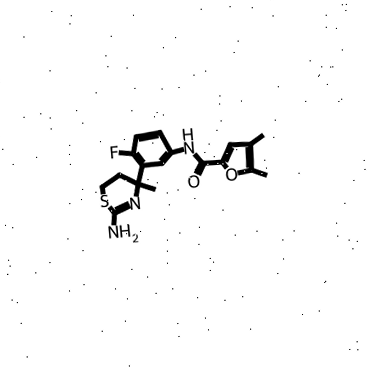 Cc1cc(C(=O)Nc2ccc(F)c(C3(C)CCSC(N)=N3)c2)oc1C